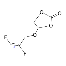 O=C1OCC(OC/C(F)=C\F)O1